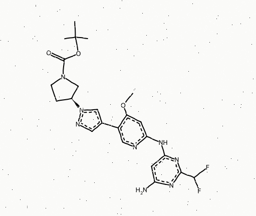 COc1cc(Nc2cc(N)nc(C(F)F)n2)ncc1-c1cnn([C@H]2CCN(C(=O)OC(C)(C)C)C2)c1